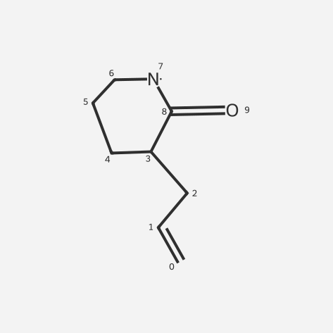 C=CCC1CCC[N]C1=O